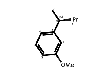 COc1cccc([C@@H](C)C(C)C)c1